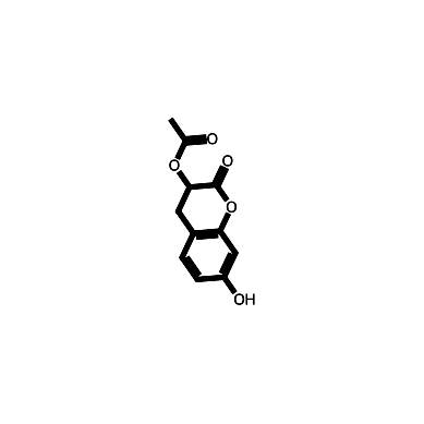 CC(=O)OC1Cc2ccc(O)cc2OC1=O